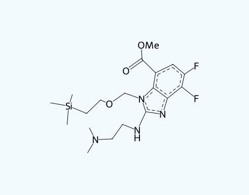 COC(=O)c1cc(F)c(F)c2nc(NCCN(C)C)n(COCC[Si](C)(C)C)c12